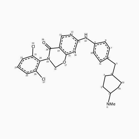 CNC1CCC(Cc2ccc(Nc3ncc4c(n3)OCN(c3c(Cl)cccc3Cl)C4=O)cc2)CC1